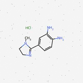 CN1CCN=C1c1ccc(N)c(N)c1.Cl